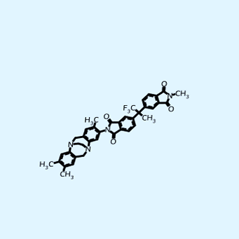 Cc1cc2c(cc1C)N1CCN(C2)c2cc(N3C(=O)c4ccc(C(C)(c5ccc6c(c5)C(=O)N(C)C6=O)C(F)(F)F)cc4C3=O)c(C)cc2C1